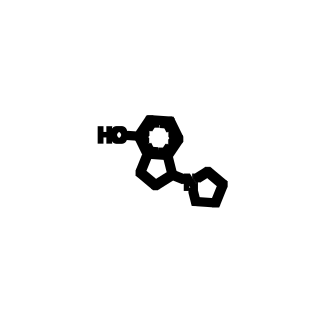 Oc1cccc2c1CCC2N1CCCC1